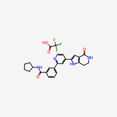 O=C(NC1CCCC1)c1cccc(-c2cc(-c3cc4c([nH]3)CCNC4=O)ccn2)c1.O=C(O)C(F)(F)F